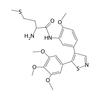 COc1ccc(-c2cnsc2-c2cc(OC)c(OC)c(OC)c2)cc1NC(=O)C(N)CCSC